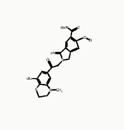 CCOc1cc2c(cc1C(=O)NC)C(=N)N(CC(=O)c1cc3c(c(C(C)(C)C)c1)OCCN3C)C2